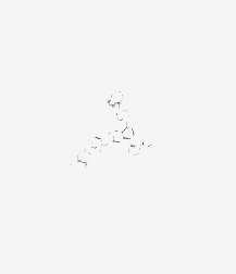 C=CC(=O)N1CCC[C@H]1c1ccc(N2CCN([C@@H]3CCCCS3(=O)=O)CC2)c2cnc(Nc3ccnc(N4CC[C@@H](OC)[C@@H](F)C4)n3)cc12